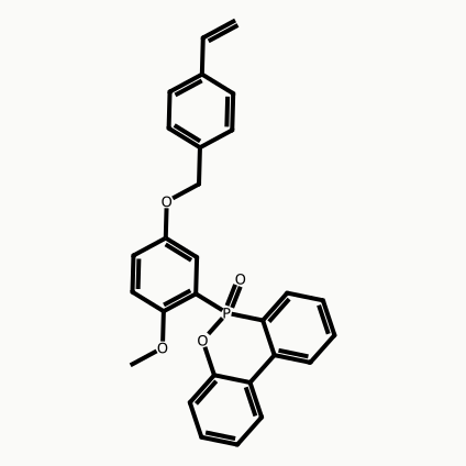 C=Cc1ccc(COc2ccc(OC)c(P3(=O)Oc4ccccc4-c4ccccc43)c2)cc1